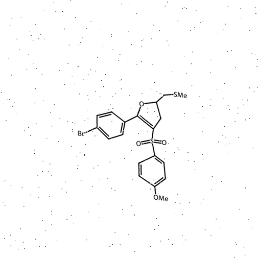 COc1ccc(S(=O)(=O)C2=C(c3ccc(Br)cc3)OC(CSC)C2)cc1